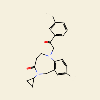 COc1cccc(C(=O)CN2CCC(=O)N(C3CC3)Cc3cc(OC)ccc32)c1